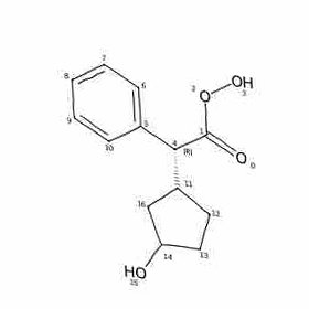 O=C(OO)[C@@H](c1ccccc1)C1CCC(O)C1